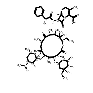 CC1=C(C(=O)O)N2C(=O)[C@@H](NC(=O)[C@H](N)C3=CCC=CC3)[C@H]2SC1.CC[C@H]1OC(=O)[C@H](C)[C@@H](O[C@H]2C[C@@](C)(OC)[C@@H](O)[C@H](C)O2)[C@H](C)[C@@H](O[C@@H]2O[C@H](C)C[C@H](N(C)C)[C@H]2O)[C@](C)(O)C[C@@H](C)C(=O)[C@H](C)[C@@H](O)[C@]1(C)O